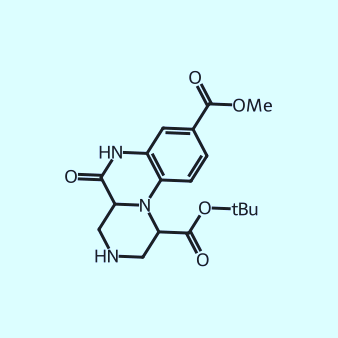 COC(=O)c1ccc2c(c1)NC(=O)C1CNCC(C(=O)OC(C)(C)C)N21